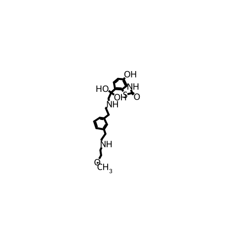 COCCNCCc1cccc(CCNCC(O)(O)c2ccc(O)c3[nH]c(=O)sc23)c1